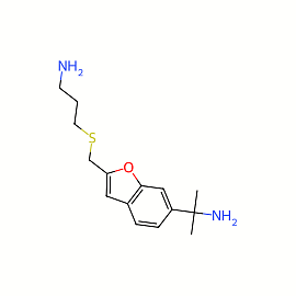 CC(C)(N)c1ccc2cc(CSCCCN)oc2c1